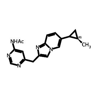 CC(=O)Nc1cc(Cc2cn3cc(C4C[C@H]4C)ccc3n2)ncn1